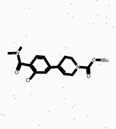 CN(C)C(=O)c1ccc(C2=CCN(C(=O)OC(C)(C)C)CC2)cc1Cl